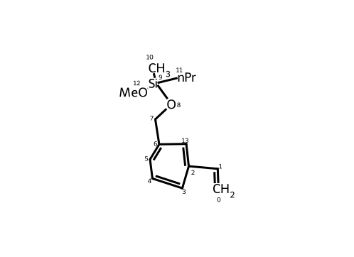 C=Cc1cccc(CO[Si](C)(CCC)OC)c1